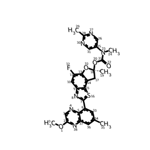 COc1cnc2c(-c3nc4cc(F)c5c(c4s3)C[C@](C)(OC(=O)N(C)c3cnc(C)nc3)O5)cc(C)cc2n1